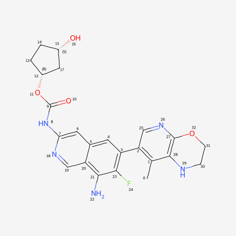 Cc1c(-c2cc3cc(NC(=O)O[C@@H]4CC[C@H](O)C4)ncc3c(N)c2F)cnc2c1NCCO2